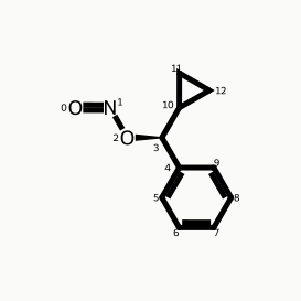 O=NO[C@H](c1ccccc1)C1CC1